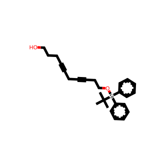 CC(C)(C)[Si](OCCC#CCC#CCCCO)(c1ccccc1)c1ccccc1